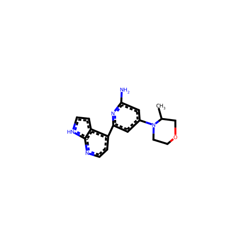 CC1COCCN1c1cc(N)nc(-c2ccnc3[nH]ccc23)c1